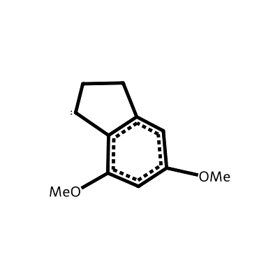 COc1cc2c(c(OC)c1)[C]CC2